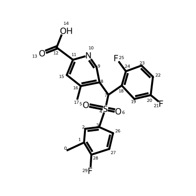 Cc1cc(S(=O)(=O)C(c2cnc(C(=O)O)cc2C)c2cc(F)ccc2F)ccc1F